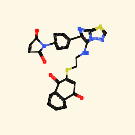 O=C1C=C(SCCNc2c(-c3ccc(N4C(=O)C=CC4=O)cc3)nc3scnn23)C(=O)c2ccccc21